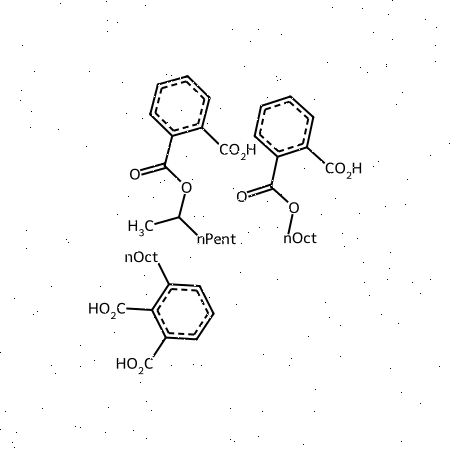 CCCCCC(C)OC(=O)c1ccccc1C(=O)O.CCCCCCCCOC(=O)c1ccccc1C(=O)O.CCCCCCCCc1cccc(C(=O)O)c1C(=O)O